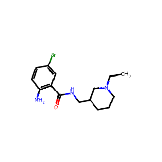 CCN1CCCC(CNC(=O)c2cc(Br)ccc2N)C1